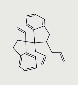 C=CCC1Cc2ccccc2C1(CC=C)C1(C=C)CCc2ccccc21